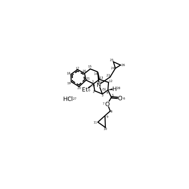 CC[C@]12CC3[C@@H](C(=O)OCC4CC4)CC1C(Cc1ccccc12)N3CC1CC1.Cl